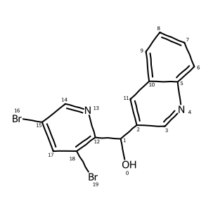 OC(c1cnc2ccccc2c1)c1ncc(Br)cc1Br